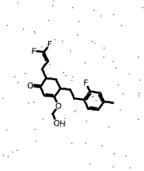 Cc1ccc(CCC2CC(CC=C(F)F)C(=O)C=C2OCO)c(F)c1